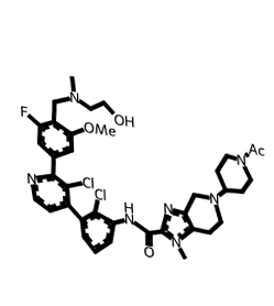 COc1cc(-c2nccc(-c3cccc(NC(=O)c4nc5c(n4C)CCN(C4CCN(C(C)=O)CC4)C5)c3Cl)c2Cl)cc(F)c1CN(C)CCO